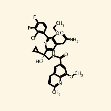 CCOc1c(CC(N)=O)cc([C@@](O)(CNC(=O)c2cc(OC)c3nc(C)ccc3c2)C2CC2)nc1-c1ccc(F)c(F)c1Cl